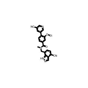 CCOc1cc(C(=O)N(C)Cc2ccc(C#N)c3cn[nH]c23)ccc1-c1cncc(C#N)c1